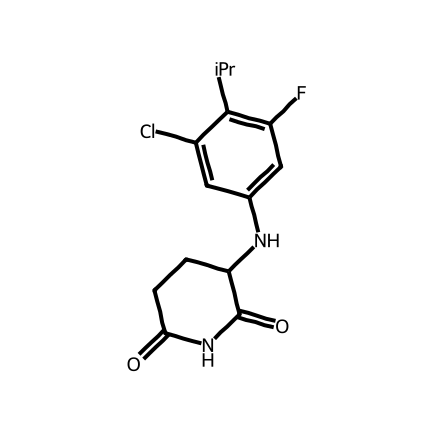 CC(C)c1c(F)cc(NC2CCC(=O)NC2=O)cc1Cl